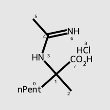 CCCCCC(C)(NC(C)=N)C(=O)O.Cl